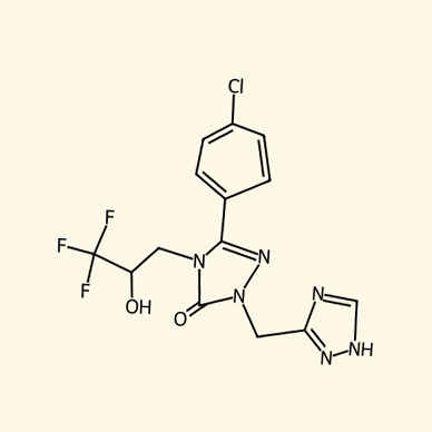 O=c1n(Cc2nc[nH]n2)nc(-c2ccc(Cl)cc2)n1CC(O)C(F)(F)F